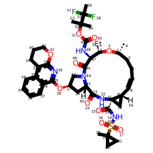 CC[C@@H]1O[C@H](C)CC/C=C\[C@@H]2C[C@@]2(C(=O)NS(=O)(=O)C2(C)CC2)NC(=O)[C@@H]2C[C@@H](Oc3nc4c(c5ccccc35)CCCO4)CN2C(=O)[C@H]1NC(=O)OC(C)(C)C(C)(F)F